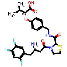 CC(C)[C@@H](Oc1ccc(CNC(=O)C2SCCN2C(=O)C[C@H](N)Cc2cc(F)c(F)cc2F)cc1)C(=O)O